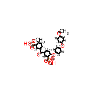 COc1ccc(Oc2ccc(Oc3ccc(C(=O)c4ccc(C)c(S(=O)(=O)O)c4)cc3S(=O)(=O)O)cc2)cc1